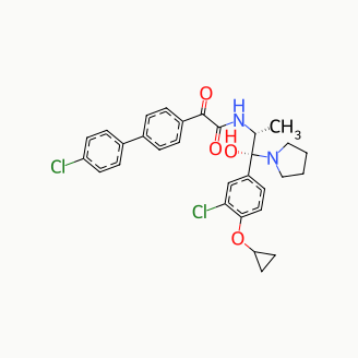 C[C@@H](NC(=O)C(=O)c1ccc(-c2ccc(Cl)cc2)cc1)[C@](O)(c1ccc(OC2CC2)c(Cl)c1)N1CCCC1